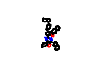 c1ccc2cc(-c3nc(-c4ccc(-c5ccc(-c6cccc7ccccc67)cc5)c5c4oc4cc6ccccc6cc45)nc4c3oc3ccccc34)ccc2c1